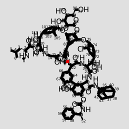 CN[C@H](CC(C)C)C(=O)N[C@H]1C(=O)NCC(=O)N[C@H]2C(=O)N[C@@H]3C(=O)N[C@H](C(=O)N[C@H](C(=O)NC4C5CC6CC(C5)CC4C6)c4cc(OC(=O)N[C@@H](C)c5ccccc5)cc(O)c4-c4cc3ccc4O)[C@H](O)c3ccc(c(Cl)c3)Oc3cc2cc(c3OC2O[C@H](CO)[C@@H](O)[C@H](O)[C@H]2O)Oc2ccc(cc2C)[C@H]1O